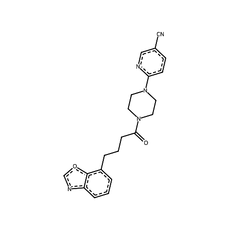 N#Cc1ccc(N2CCN(C(=O)CCCc3cccc4ncoc34)CC2)nc1